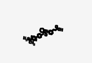 CN(C)c1cnc(-c2ccc(CC3(C(=O)Nc4cccc(/C=C/C(=O)O)c4)CCCCC3)cc2)cn1